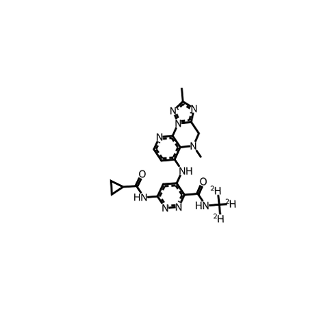 [2H]C([2H])([2H])NC(=O)c1nnc(NC(=O)C2CC2)cc1Nc1ccnc2c1N(C)Cc1nc(C)nn1-2